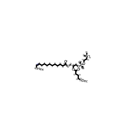 CCCCCC/C=C\CCCCCCCCCC(=O)OC[C@H](COP(=O)([O-])OCC[N+](C)(C)C)OC(=O)CCCCCCCCCCCCC